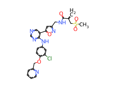 C=C(CS(C)(=O)=O)C(=O)NCc1cc(-c2cncnc2Nc2ccc(OCc3ccccn3)c(Cl)c2)on1